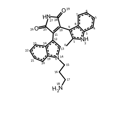 Cc1[nH]c2ccccc2c1C1=C(c2cn(CCCN)c3ccccc23)C(=O)NC1=O